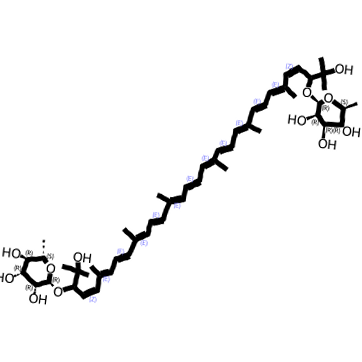 CC(/C=C\C(O[C@H]1O[C@@H](C)[C@H](O)[C@@H](O)[C@H]1O)C(C)(C)O)=C\C=C\C(C)=C\C=C\C(C)=C\C=C\C=C(C)\C=C\C=C(C)\C=C\C=C(C)\C=C/C(O[C@H]1O[C@@H](C)[C@H](O)[C@@H](O)[C@H]1O)C(C)(C)O